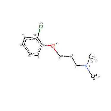 CN(C)CCCOc1ccc[c]c1Cl